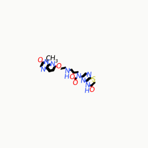 Cn1c(=O)cnc2ccc(OCCNCC3CN(c4cnc5c(n4)NC(=O)CS5)C(=O)O3)nc21